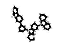 c1cc(-c2ccc3c(c2)oc2occc23)cc(-n2c3ccccc3c3cc(-n4c5ccccc5c5ccccc54)ccc32)c1